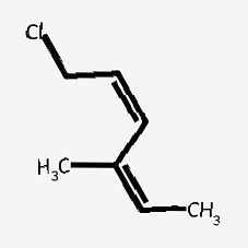 C/C=C(C)\C=C/CCl